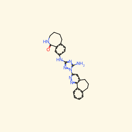 Nc1nc(Nc2ccc3c(c2)C(=O)NCCCC3)nn1-c1cc2c(nn1)-c1ccccc1CCC2